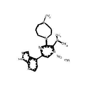 CN1CCCN(c2nc(-c3ccnc4[nH]ncc34)cnc2N(C)C)CC1.Cl.Cl